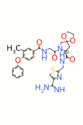 Cc1cc(C(=O)NCC(=O)N2CC3(C[C@H]2C(=O)NCc2nc(C(=N)N)cs2)OCCO3)ccc1Oc1ccccc1